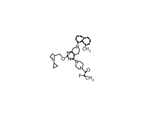 C=C(F)C(=O)N1CCN(c2nc(OCC3CCN3C3CC3)nc3c2CCN(c2cccc4cccc(C)c24)C3)CC1